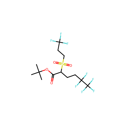 CC(C)(C)OC(=O)C(CCC(F)(F)C(F)(F)F)S(=O)(=O)CCC(F)(F)F